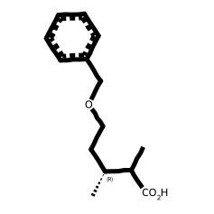 CC(C(=O)O)[C@H](C)CCOCc1ccccc1